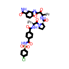 CC(C)C(NC(=O)[C@@H]1CCCN1C(=O)[C@@H](NC(=O)c1ccc(C(=O)NS(=O)(=O)c2ccc(Cl)cc2)cc1)C(C)C)C(=O)c1nc2cc(C(N)=O)ccc2o1